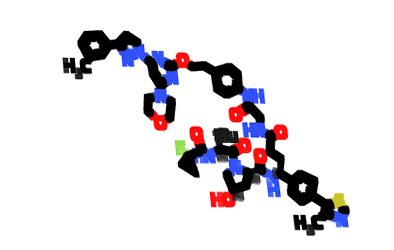 Cc1cccc(-c2ccn(-c3cc(N4CCOCC4)nc(OCCc4ccc(NC(=O)CNC(=O)CC[C@H](NC(=O)[C@@H]5C[C@@H](O)CN5C(=O)[C@@H](NC(=O)C5(F)CC5)C(C)(C)C)c5ccc(-c6scnc6C)cc5)cc4)n3)n2)c1